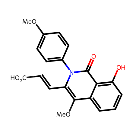 COc1ccc(-n2c(C=CC(=O)O)c(OC)c3cccc(O)c3c2=O)cc1